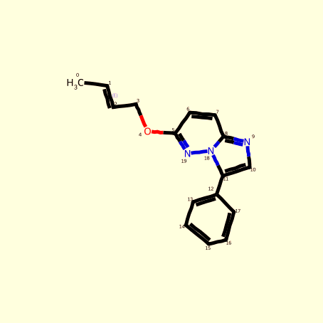 C/C=C/COc1ccc2ncc(-c3ccccc3)n2n1